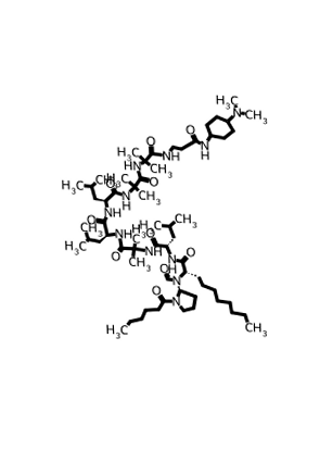 CCCCCCCC[C@@H](C(=O)N[C@@H](CC(C)C)C(=O)NC(C)(C)C(=O)N[C@@H](CC(C)C)C(=O)N[C@@H](CC(C)C)C(=O)NC(C)(C)C(=O)NC(C)(C)C(=O)NCCC(=O)NC1CCC(N(C)C)CC1)N(C=O)[C@@H]1CCCN1C(=O)CCCCC